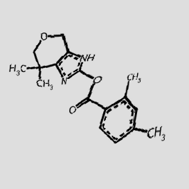 Cc1ccc(C(=O)Oc2nc3c([nH]2)COCC3(C)C)c(C)c1